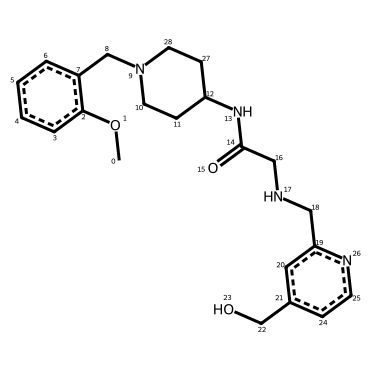 COc1ccccc1CN1CCC(NC(=O)CNCc2cc(CO)ccn2)CC1